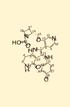 O=C1NCCc2[nH]c(-c3ccncc3OC[C@H]3CCN3C(=O)O)c(Nc3ccc(Cl)cc3)c21